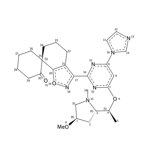 CO[C@@H]1C[C@@H]([C@H](C)Oc2cc(-n3ccnc3)nc(-c3noc4c3CCC[C@@]43CCCCC3=O)n2)N(C)C1